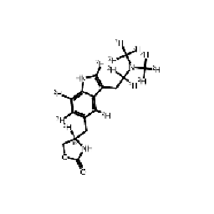 [2H]c1[nH]c2c([2H])c([2H])c(C[C@@]3([2H])COC(=O)N3)c([2H])c2c1CC([2H])([2H])N(C([2H])([2H])[2H])C([2H])([2H])[2H]